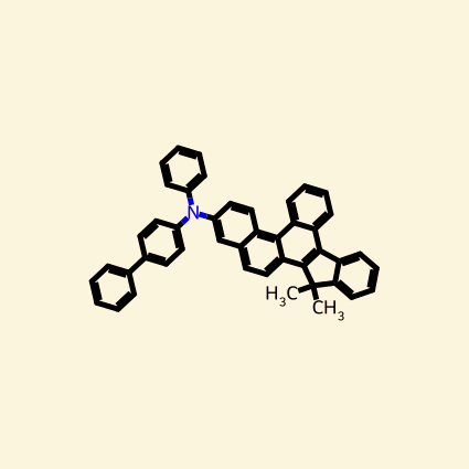 CC1(C)c2ccccc2-c2c1c1ccc3cc(N(c4ccccc4)c4ccc(-c5ccccc5)cc4)ccc3c1c1ccccc21